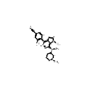 CN1CCC[C@@H](N(C)c2nnc(-c3ccc(C#N)cc3O)c3ccn(C)c23)C1